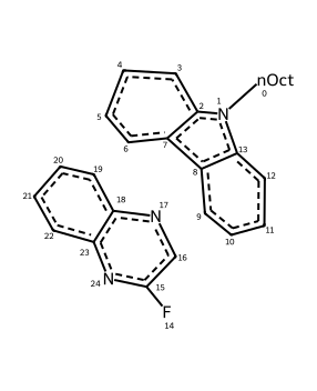 CCCCCCCCn1c2ccccc2c2ccccc21.Fc1cnc2ccccc2n1